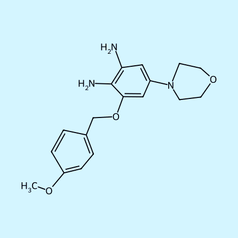 COc1ccc(COc2cc(N3CCOCC3)cc(N)c2N)cc1